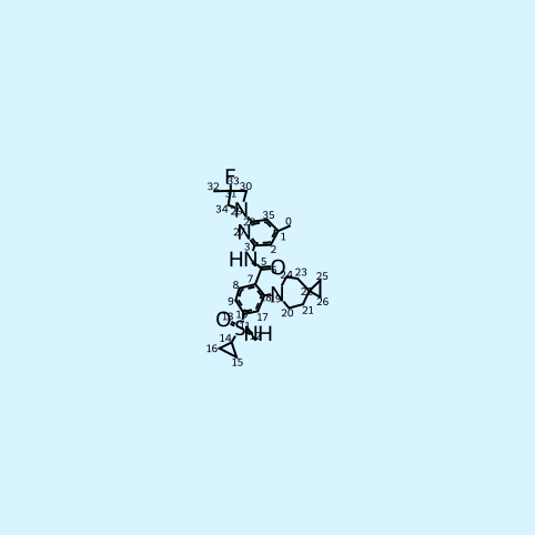 Cc1cc(NC(=O)c2ccc(S(=N)(=O)C3CC3)cc2N2CCC3(CC2)CC3)nc(N2CC(C)(F)C2)c1